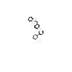 CC1CCCC(c2cccnc2Oc2ccc(C(=O)c3nc4ccccc4[nH]3)cc2)C1